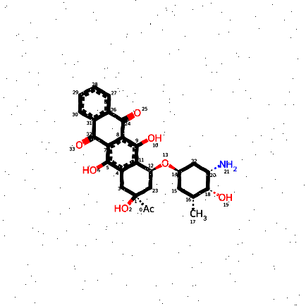 CC(=O)[C@]1(O)Cc2c(O)c3c(c(O)c2[C@@H](O[C@@H]2C[C@@H](C)[C@@H](O)[C@@H](N)C2)C1)C(=O)c1ccccc1C3=O